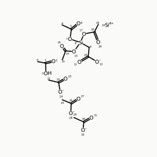 CC(=O)O.CC(=O)O[Si](CC(=O)[O-])(OC(C)=O)OC(C)=O.CC(=O)[O-].CC(=O)[O-].CC(=O)[O-].[Si+4]